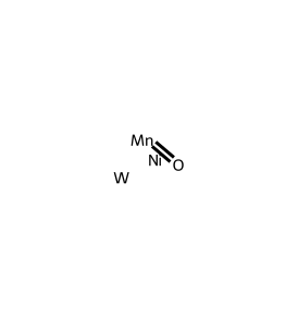 [Ni].[O]=[Mn].[W]